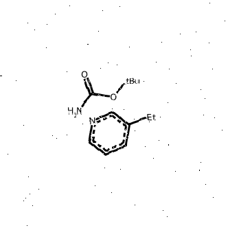 CC(C)(C)OC(N)=O.CCc1cccnc1